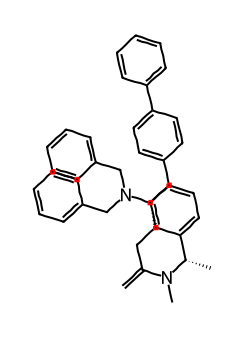 C=C(CC[C@@H](Cc1ccc(-c2ccccc2)cc1)N(Cc1ccccc1)Cc1ccccc1)N(C)[C@@H](C)c1ccccc1